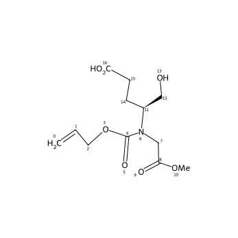 C=CCOC(=O)N(CC(=O)OC)[C@H](CO)CCC(=O)O